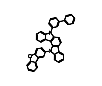 c1ccc(-c2cccc(-n3c4ccccc4c4c3ccc3c5ccccc5n(-c5ccc6oc7ccccc7c6c5)c34)c2)cc1